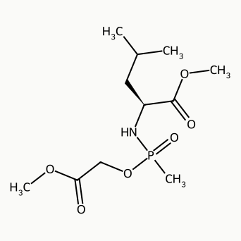 COC(=O)COP(C)(=O)N[C@@H](CC(C)C)C(=O)OC